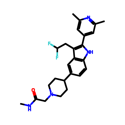 CNC(=O)CN1CCC(c2ccc3[nH]c(-c4cc(C)nc(C)c4)c(CC(F)F)c3c2)CC1